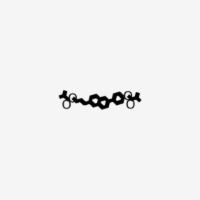 C=C(C)C(=O)OC/C=C/c1ccc2cc(-c3ccc(OC(=O)C(=C)C)cc3)ccc2c1